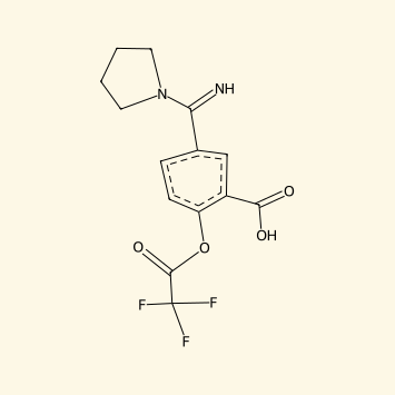 N=C(c1ccc(OC(=O)C(F)(F)F)c(C(=O)O)c1)N1CCCC1